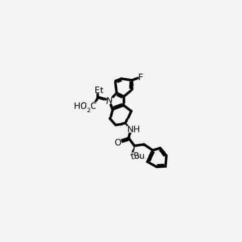 CCC(C(=O)O)n1c2c(c3cc(F)ccc31)C[C@@H](NC(=O)[C@@H](Cc1ccccc1)C(C)(C)C)CC2